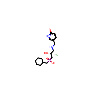 Cl.O=c1ccc(CNC[C@@H](O)CP(=O)(O)CC2CCCCC2)c[nH]1